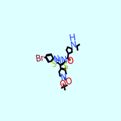 CC(C)NC1CCC(C(=O)Nc2sc3c(c2-c2nc4ccc(Br)cc4s2)CCN(C(=O)OC(C)(C)C)C3)C1